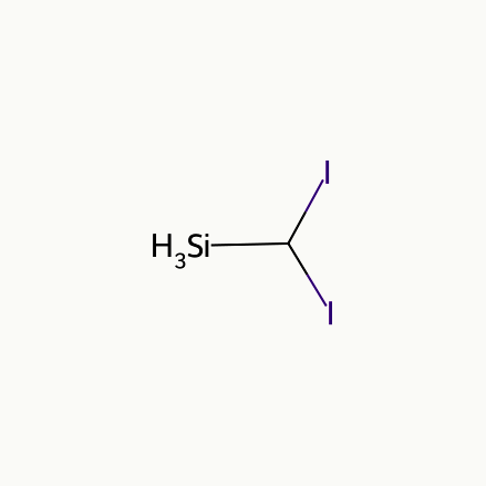 [SiH3]C(I)I